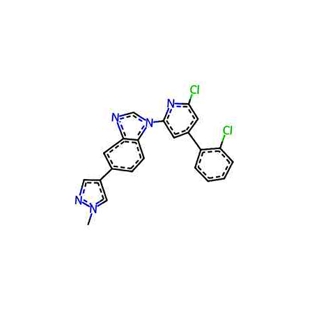 Cn1cc(-c2ccc3c(c2)ncn3-c2cc(-c3ccccc3Cl)cc(Cl)n2)cn1